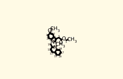 CCOC(=O)Cc1c(C)n(Cc2ccc3ccccc3n2)c2ccc(OC)cc12